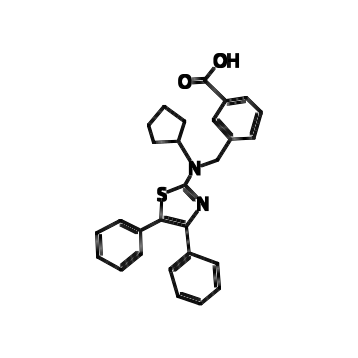 O=C(O)c1cccc(CN(c2nc(-c3ccccc3)c(-c3ccccc3)s2)C2CCCC2)c1